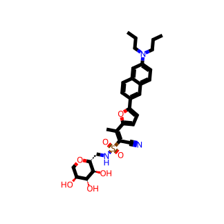 CCCN(CCC)c1ccc2cc(-c3ccc(/C(C)=C(\C#N)S(=O)(=O)NC[C@H]4OC[C@H](O)[C@@H](O)[C@@H]4O)o3)ccc2c1